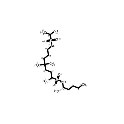 CCCC[C@H](C)NS(=O)(=O)C(C)CCC(C)(C)CCCNS(=O)(=O)C(C)S